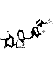 COc1cc(CC2CCCN3C2=NOCC3c2cc(F)c(F)c(F)c2)ccc1-n1cnc(C)c1